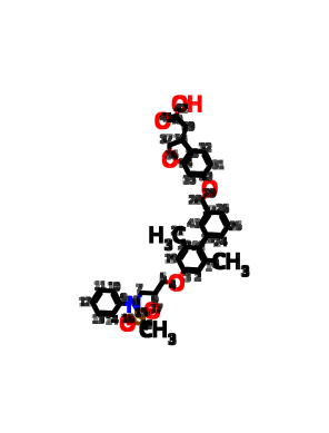 Cc1cc(OCCCN(c2ccccc2)S(C)(=O)=O)cc(C)c1-c1cccc(COc2ccc3c(c2)OC[C@H]3CC(=O)O)c1